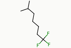 C[C](C)CCCCC(F)(F)F